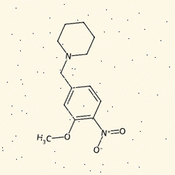 COc1cc(CN2CCCCC2)ccc1[N+](=O)[O-]